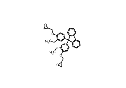 CCc1cc(C2(c3ccc(OCC4CO4)c(CC)c3)c3ccccc3-c3ccccc32)ccc1OCC1CO1